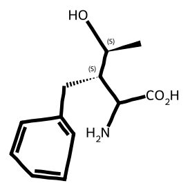 C[C@H](O)[C@@H](Cc1ccccc1)C(N)C(=O)O